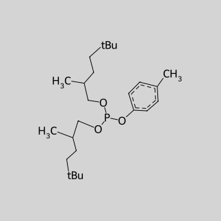 Cc1ccc(OP(OCC(C)CCC(C)(C)C)OCC(C)CCC(C)(C)C)cc1